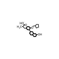 CC(Cc1ccc(OCC2CCCC2)c(-c2ccc3ccc(O)cc3c2)c1)C(=O)O